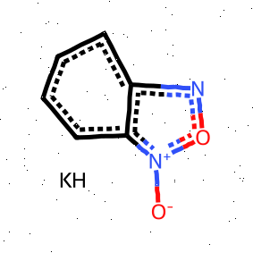 [KH].[O-][n+]1onc2ccccc21